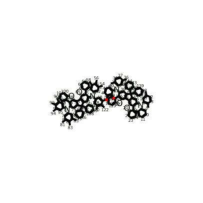 Cc1ccc(C)c(N(c2ccccc2C)c2cc3c(c4oc5ccccc5c24)-c2c(cc(N(c4cc(C)ccc4C)c4cccc(Cc5cc(N(c6cc(C)c(C)c(C)c6)c6cc7c(c8oc9ccccc9c68)-c6c(cc(N(c8cc(C)c(C)c(C)c8)c8cc(C)c(C)c(C)c8)c8c6oc6ccccc68)C7(c6ccccc6)c6ccccc6)cc(C)c5C)c4C)c4c2oc2ccccc24)C3(c2ccccc2)c2ccccc2)c1